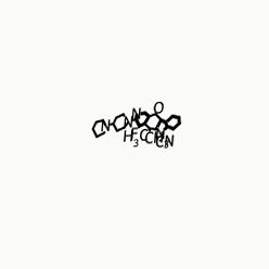 CC1(C)c2c(cnc(N3CCC(N4CCCCC4)CC3)c2F)C(=O)c2c1n(C#N)c1ccccc21